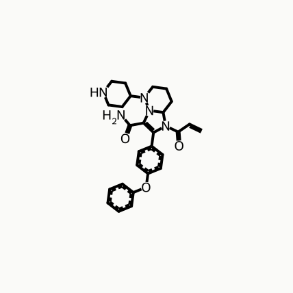 C=CC(=O)N1C(c2ccc(Oc3ccccc3)cc2)=C(C(N)=O)N2C1CCCN2C1CCNCC1